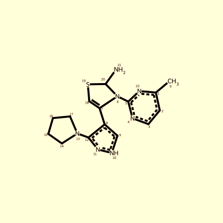 Cc1ccnc(N2C(c3c[nH]nc3N3CCCC3)=CSC2N)n1